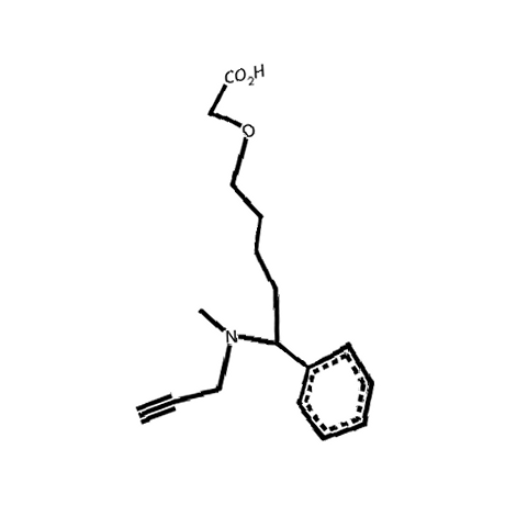 C#CCN(C)C(CCCCOCC(=O)O)c1ccccc1